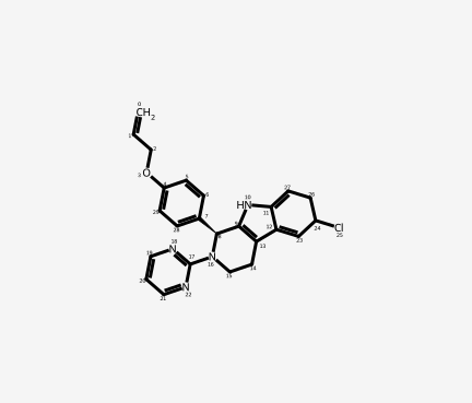 C=CCOc1ccc([C@H]2c3[nH]c4c(c3CCN2c2ncccn2)=CC(Cl)CC=4)cc1